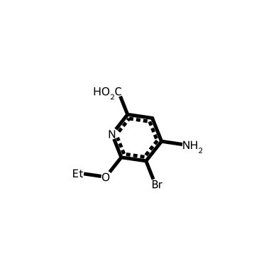 CCOc1nc(C(=O)O)cc(N)c1Br